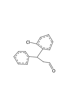 O=CCC(c1ccccc1)c1ccccc1Cl